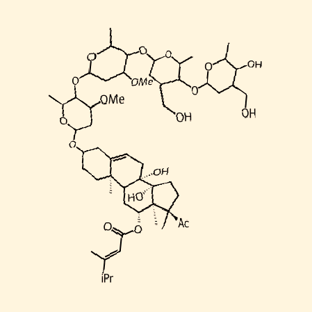 COC1CC(OC2C(C)OC(OC3CC[C@@]4(C)C(=CC[C@]5(O)C4C[C@@H](OC(=O)/C=C(\C)C(C)C)[C@@]4(C)[C@]5(O)CC[C@@]4(C)C(C)=O)C3)CC2OC)OC(C)C1OC1CC(CO)C(OC2CC(CO)C(O)C(C)O2)C(C)O1